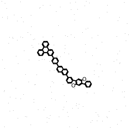 c1ccc2c(c1)oc1cc3c(cc12)oc1ccc(-c2ccc4cc(-c5ccc(-c6ccc7c8ccccc8c8ccccc8c7c6)cc5)ccc4c2)cc13